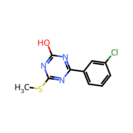 CSc1nc(O)nc(-c2cccc(Cl)c2)n1